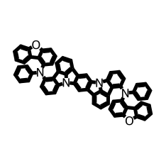 c1ccc(N(c2cccc3oc4ccccc4c23)c2cccc3c2c2cccc4c5cc6c(cc5n3c42)c2cccc3c4c(N(c5ccccc5)c5cccc7oc8ccccc8c57)cccc4n6c23)cc1